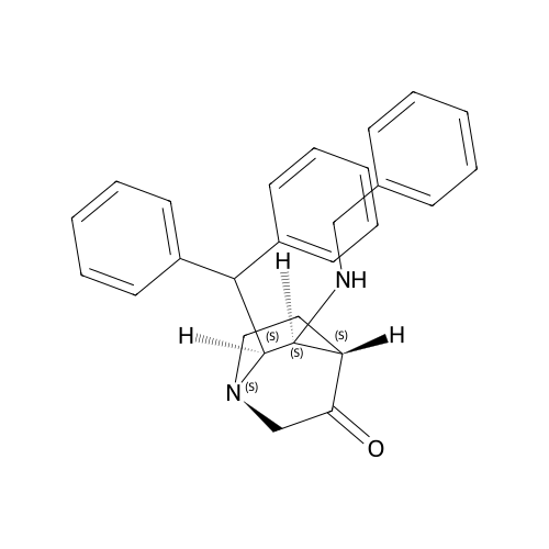 O=C1C[N@@]2CC[C@H]1[C@H](NCc1ccccc1)[C@@H]2C(c1ccccc1)c1ccccc1